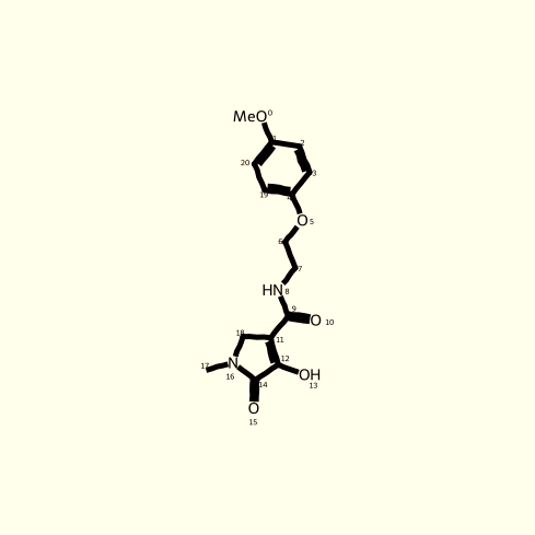 COc1ccc(OCCNC(=O)C2=C(O)C(=O)N(C)C2)cc1